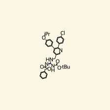 CC(C)Oc1ccc(-c2cc(CN/C(=N/S(=O)(=O)c3ccccc3)NC(=O)OC(C)(C)C)cnc2-c2ccc(Cl)cc2)cc1